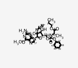 CCCOC(=O)[C@H](C)NP(=O)(OC[C@H]1O[C@@H](n2cnc3c(OC)nc(N)nc32)[C@](C)(N=[N+]=[N-])C1O)Oc1ccccc1